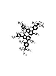 Cc1ccc(C2=Cc3c(ccc(C)c3-c3ccc(C(C)(C)C)cc3C)[CH]2[Zr]([CH]2C(c3ccc(C)o3)=Cc3c2ccc(C)c3-c2ccc(C(C)(C)C)cc2C)=[Si](C)C)o1